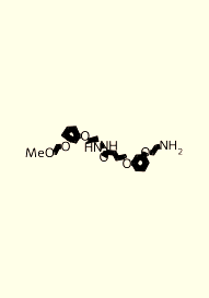 COCCOc1cccc(OCCNNC(=O)CCCOc2cccc(OCCN)c2)c1